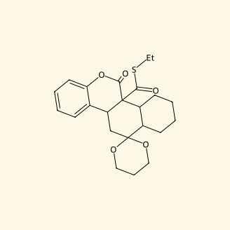 CCSC(=O)C12C(=O)Oc3ccccc3C1CC1(OCCCO1)C1CCCCC12